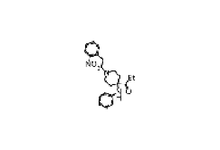 CCC(=O)C1(Nc2ccccc2)CCN(CCc2ccccc2[N+](=O)[O-])CC1